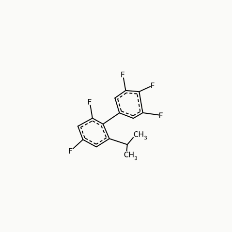 CC(C)c1cc(F)cc(F)c1-c1cc(F)c(F)c(F)c1